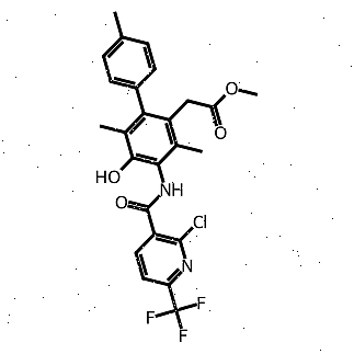 COC(=O)Cc1c(C)c(NC(=O)c2ccc(C(F)(F)F)nc2Cl)c(O)c(C)c1-c1ccc(C)cc1